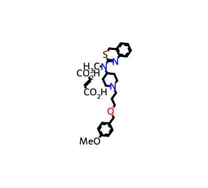 COc1ccc(COCCCN2CCC(N(C)C3=Nc4ccccc4CS3)CC2)cc1.O=C(O)/C=C/C(=O)O